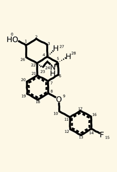 OC1CC[C@H]2[C@H]3Cc4c(OCc5ccc(F)cc5)cccc4[C@@]2(CCN3)C1